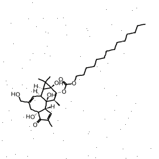 CCCCCCCCCCCCCCOC(=O)O[C@@H]1[C@@H](C)[C@@]2(O)[C@@H](C=C(CO)C[C@]3(O)C(=O)C(C)=C[C@@H]23)[C@H]2C(C)(C)[C@]12O